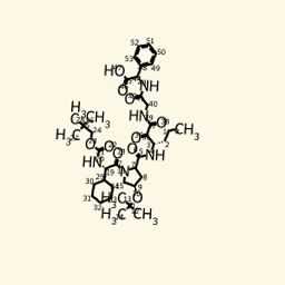 CCC[C@H](NC(=O)C1C[C@@H](OC(C)(C)C)CN1C(=O)[C@@H](NC(=O)OCC(C)(C)C)C1CCCCC1)C(=O)C(=O)NCC(=O)N[C@H](C(=O)O)c1ccccc1